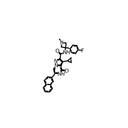 CN1CC(NC(=O)c2nn3cc(-c4ccc5ccccc5c4)[nH]c(=O)c3c2C2CC2)(c2ccc(F)cc2)C1